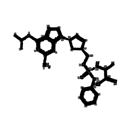 CC(C)Oc1nc(N)nc2c1ncn2[C@H]1C=C[C@@H](CO[P@@](=O)(NC(C)C(=O)O)Oc2ccccc2)C1